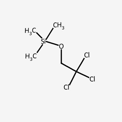 C[Si](C)(C)OCC(Cl)(Cl)Cl